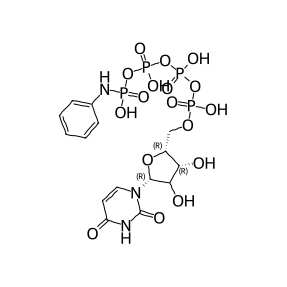 O=c1ccn([C@@H]2O[C@H](COP(=O)(O)OP(=O)(O)OP(=O)(O)OP(=O)(O)Nc3ccccc3)[C@H](O)C2O)c(=O)[nH]1